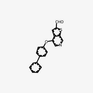 O=Cc1cc2c(Oc3ccc(-c4ccccc4)cc3)cncc2s1